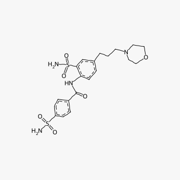 NS(=O)(=O)c1ccc(C(=O)Nc2ccc(CCCN3CCOCC3)cc2S(N)(=O)=O)cc1